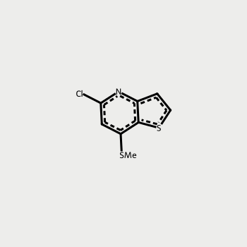 CSc1cc(Cl)nc2ccsc12